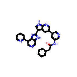 O=C(Cc1ccccc1)Nc1cncc(-c2cnc3[nH]cc(-c4nc5c(-c6ccccn6)cncc5[nH]4)c3c2)c1